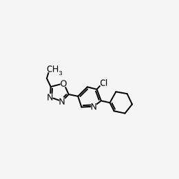 CCc1nnc(-c2cnc(C3=CCCCC3)c(Cl)c2)o1